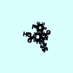 C[Si](C)(C)CNC1=NC(=O)N(c2cccc(F)c2)C12CCN(C(=O)O)CC2